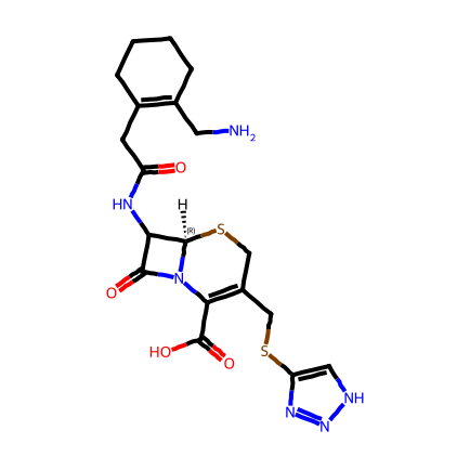 NCC1=C(CC(=O)NC2C(=O)N3C(C(=O)O)=C(CSc4c[nH]nn4)CS[C@H]23)CCCC1